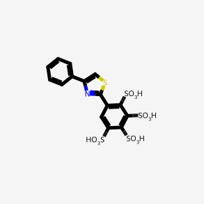 O=S(=O)(O)c1cc(-c2nc(-c3ccccc3)cs2)c(S(=O)(=O)O)c(S(=O)(=O)O)c1S(=O)(=O)O